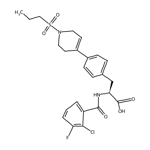 CCCS(=O)(=O)N1CC=C(c2ccc(C[C@H](NC(=O)c3cccc(F)c3Cl)C(=O)O)cc2)CC1